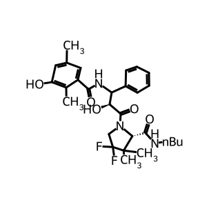 CCCCNC(=O)[C@H]1N(C(=O)[C@@H](O)C(NC(=O)c2cc(C)cc(O)c2C)c2ccccc2)CC(F)(F)C1(C)C